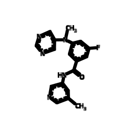 Cc1cncc(NC(=O)c2cc(F)cc(N(C)c3cncnc3)c2)c1